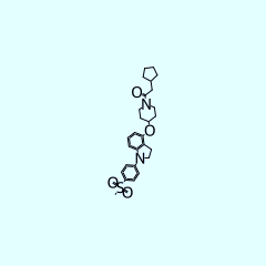 CS(=O)(=O)c1ccc(N2CCc3c(OC4CCN(C(=O)CC5CCCC5)CC4)cccc32)cc1